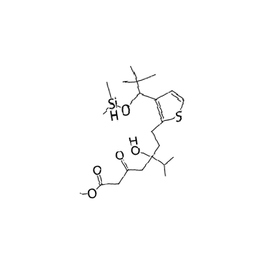 COC(=O)CC(=O)CC(O)(CCc1sccc1C(O[SiH](C)C)C(C)(C)C)C(C)C